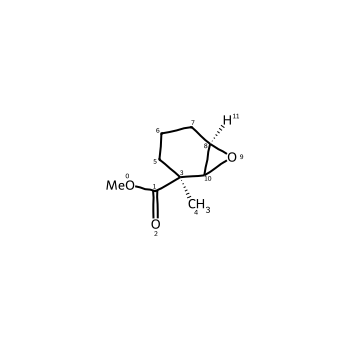 COC(=O)[C@@]1(C)CCC[C@H]2OC21